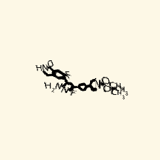 CC(C)(C)OC(=O)N1CC=C(c2ccc(-c3cc(-c4cc5c(cc4F)C(=O)NCC5)c(N)nc3F)cc2)CC1